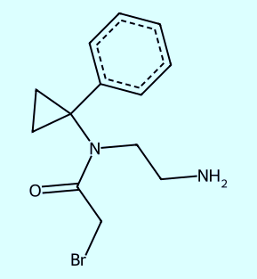 NCCN(C(=O)CBr)C1(c2ccccc2)CC1